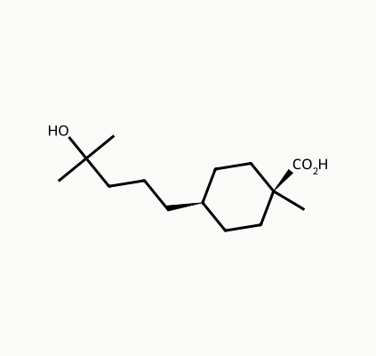 CC(C)(O)CCC[C@H]1CC[C@@](C)(C(=O)O)CC1